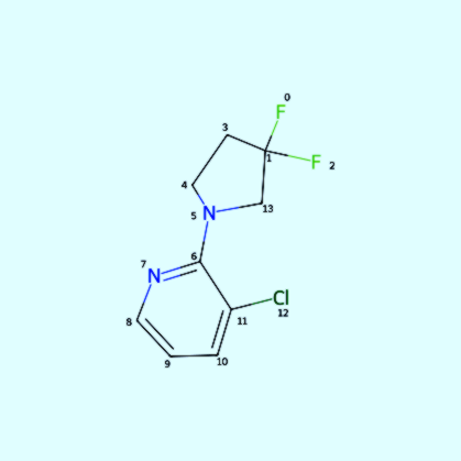 FC1(F)CCN(c2ncccc2Cl)C1